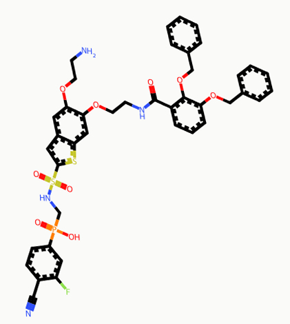 N#Cc1ccc(P(=O)(O)CNS(=O)(=O)c2cc3cc(OCCN)c(OCCNC(=O)c4cccc(OCc5ccccc5)c4OCc4ccccc4)cc3s2)cc1F